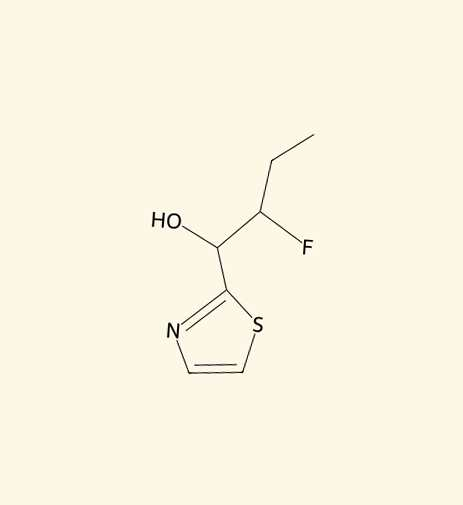 CCC(F)C(O)c1nccs1